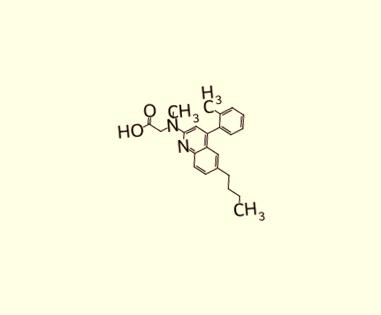 CCCCc1ccc2nc(N(C)CC(=O)O)cc(-c3ccccc3C)c2c1